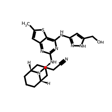 Cc1cc2nc(N[C@@H]3C[C@H]4CCC[C@@H](C3)N4CCC#N)nc(Nc3cc(CO)[nH]n3)c2s1